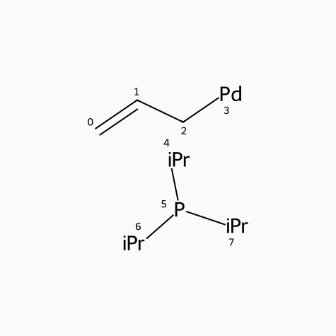 C=C[CH2][Pd].CC(C)P(C(C)C)C(C)C